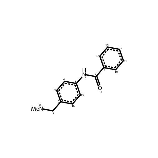 CNCc1ccc(NC(=O)c2ccccc2)cc1